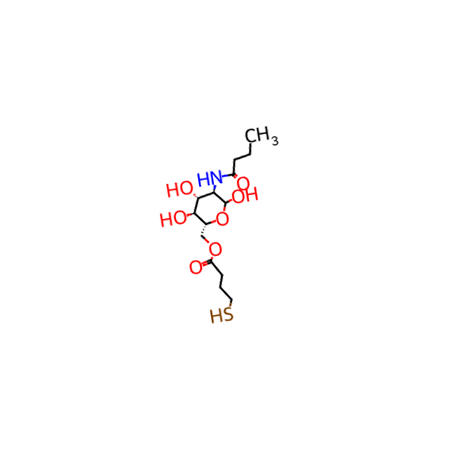 CCCC(=O)N[C@H]1C(O)O[C@H](COC(=O)CCCS)[C@@H](O)[C@@H]1O